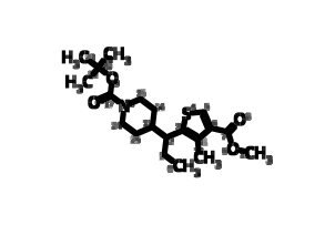 CCC(c1scc(C(=O)OC)c1C)C1CCN(C(=O)OC(C)(C)C)CC1